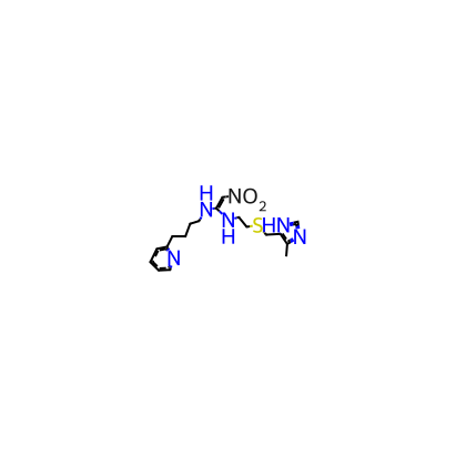 Cc1nc[nH]c1CSCCNC(=C[N+](=O)[O-])NCCCCc1ccccn1